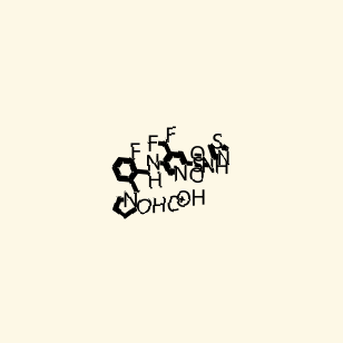 O=CO.O=S(=O)(Nc1cscn1)c1cc(C(F)F)c(NCc2c(F)cccc2CN2CCCC2)cn1